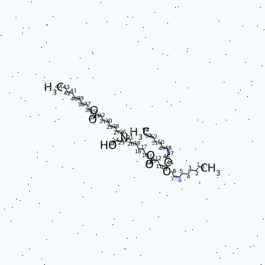 CCCCCC/C=C\COC(CCC(=O)OCCCCCCN(CCO)CCCCCCCC(=O)OCCCCCCCCC)OC/C=C\CCCCCC